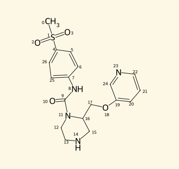 CS(=O)(=O)c1ccc(NC(=O)N2CCNCC2COc2cccnc2)cc1